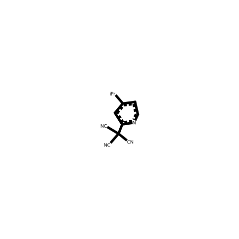 CC(C)c1ccnc(C(C#N)(C#N)C#N)c1